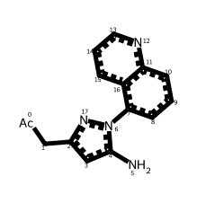 CC(=O)Cc1cc(N)n(-c2cccc3ncccc23)n1